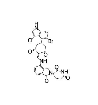 O=C1CCC(N2Cc3c(NC=C4C(=O)CC(c5c(Br)ccc6[nH]cc(Cl)c56)CC4=O)cccc3C2=O)C(=O)N1